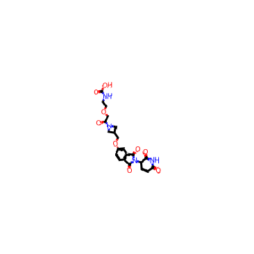 O=C(O)NCCOCC(=O)N1CC(COc2ccc3c(c2)C(=O)N(C2CCC(=O)NC2=O)C3=O)C1